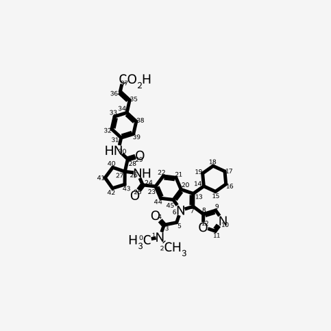 CN(C)C(=O)Cn1c(-c2cnco2)c(C2CCCCC2)c2ccc(C(=O)NC3(C(=O)Nc4ccc(/C=C/C(=O)O)cc4)CCCC3)cc21